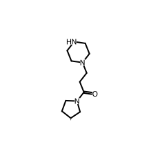 O=C(CCN1CCNCC1)N1C[CH]CC1